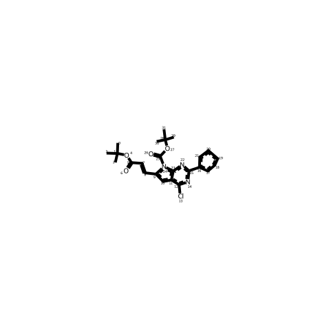 CC(C)(C)OC(=O)/C=C/c1cc2c(Cl)nc(-c3ccccc3)nc2n1C(=O)OC(C)(C)C